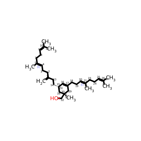 C=C(CC/C=C(\C)CCC=C(C)C)CC[C@@H]1C=C(CC/C=C(\C)CCC=C(C)C)C[C@](C)(CO)C1